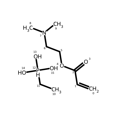 C=CC(=O)OCCN(C)C.CC[PH](O)(O)O